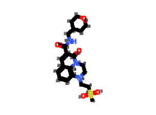 CS(=O)(=O)CCN1CCn2c(=O)c(C(=O)NCC3CCOCC3)cc3cccc1c32